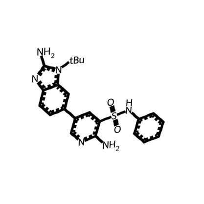 CC(C)(C)n1c(N)nc2ccc(-c3cnc(N)c(S(=O)(=O)Nc4ccccc4)c3)cc21